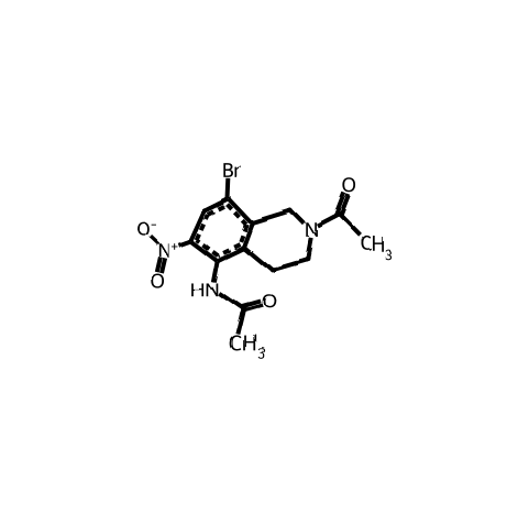 CC(=O)Nc1c([N+](=O)[O-])cc(Br)c2c1CCN(C(C)=O)C2